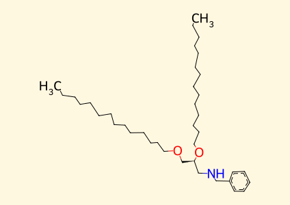 CCCCCCCCCCCCCCOC[C@H](CNCc1ccccc1)OCCCCCCCCCCCCCC